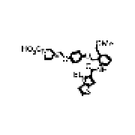 CCn1c(C(=O)Nc2cccc(COC)c2COc2ccc(OC[C@@H]3CCN(C(=O)O)C3)cc2)cc2sccc21